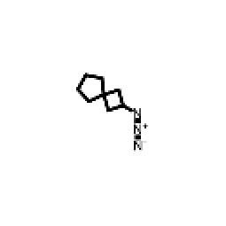 [N-]=[N+]=NC1CC2(CCCC2)C1